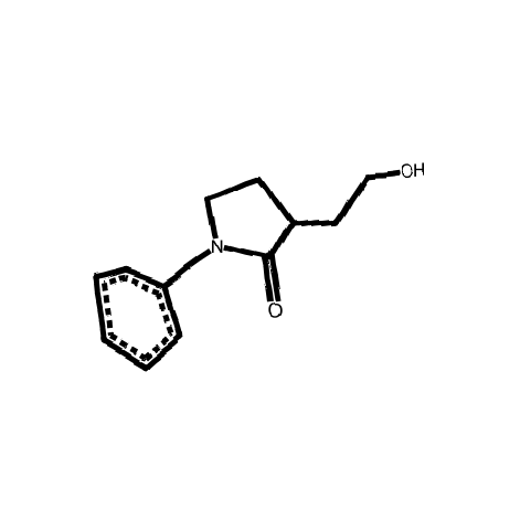 O=C1C(CCO)CCN1c1ccccc1